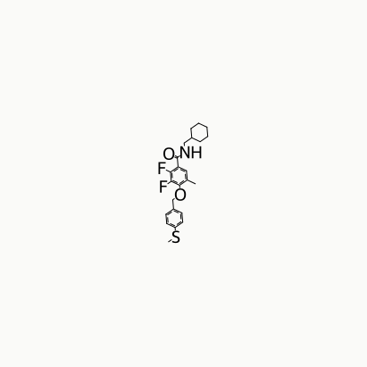 CSc1ccc(COc2c(C)cc(C(=O)NCC3CCCCC3)c(F)c2F)cc1